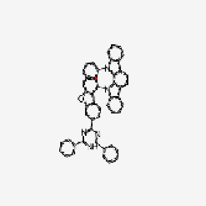 N=C(/N=C(\N=C\c1ccccc1)c1ccc2c(c1)oc1cccc(-n3c4ccccc4c4ccc5c6ccccc6n(-c6ccccc6)c5c43)c12)c1ccccc1